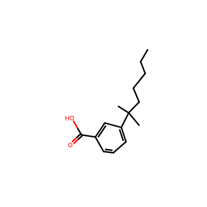 CCCCCC(C)(C)c1cccc(C(=O)O)c1